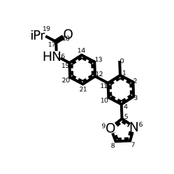 Cc1ccc(-c2ncco2)cc1-c1ccc(NC(=O)C(C)C)cc1